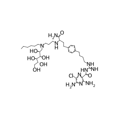 CCCCCCN(CCCNC(CCc1ccc(CCCCNC(=N)NC(=O)c2nc(Cl)c(N)nc2N)cc1)C(N)=O)C[C@H](O)[C@@H](O)[C@H](O)[C@H](O)CO